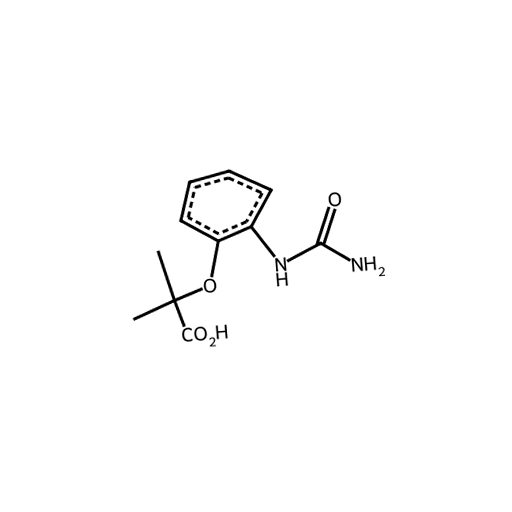 CC(C)(Oc1ccccc1NC(N)=O)C(=O)O